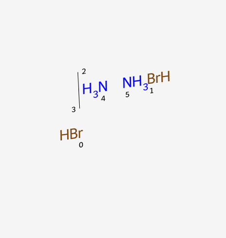 Br.Br.CC.N.N